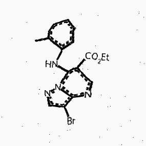 CCOC(=O)c1cnc2c(Br)cnn2c1Nc1ccccc1C